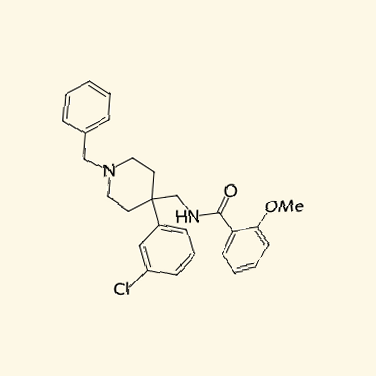 COc1ccccc1C(=O)NCC1(c2cccc(Cl)c2)CCN(Cc2ccccc2)CC1